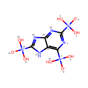 [O-][N+](O)(O)c1nc([N+]([O-])(O)O)c2[nH]c([N+]([O-])(O)O)nc2n1